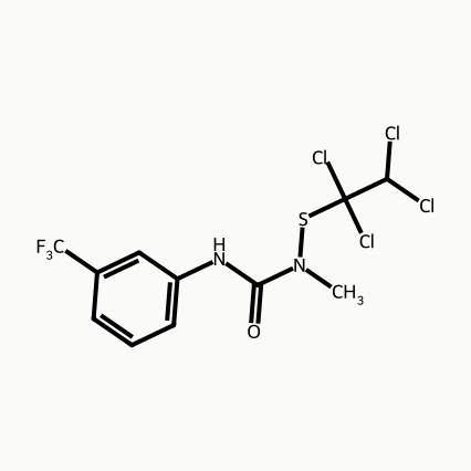 CN(SC(Cl)(Cl)C(Cl)Cl)C(=O)Nc1cccc(C(F)(F)F)c1